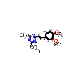 CCCOc1cc(/C=C/c2nc(C(Cl)(Cl)Cl)nc(C(Cl)(Cl)Cl)n2)ccc1OCC